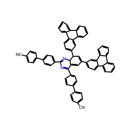 N#Cc1ccc(-c2ccc(C3=NC4C(=CC(c5ccc6c7ccccc7c7ccccc7c6c5)=CC4c4ccc5c6ccccc6c6ccccc6c5c4)C(c4ccc(-c5ccc(C#N)cc5)cc4)=N3)cc2)cc1